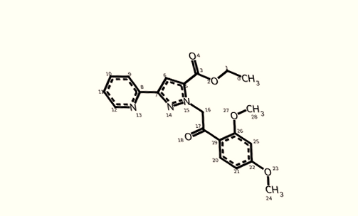 CCOC(=O)c1cc(-c2ccccn2)nn1CC(=O)c1ccc(OC)cc1OC